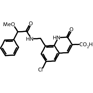 COC(C(=O)NCc1cc(Cl)cc2cc(C(=O)O)c(=O)[nH]c12)c1ccccc1